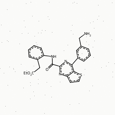 CCOC(=O)Cc1ccccc1NC(=O)c1nc(-c2cccc(CN)c2)c2sccc2n1